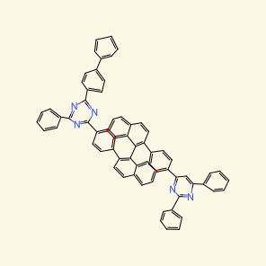 c1ccc(-c2ccc(-c3nc(-c4ccccc4)nc(-c4ccc(-c5ccc6ccccc6c5-c5c(-c6ccc(-c7cc(-c8ccccc8)nc(-c8ccccc8)n7)cc6)ccc6ccccc56)cc4)n3)cc2)cc1